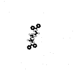 CCC(C(=O)NC1C(=O)N2CC(CCl)(C(=O)OC(c3ccccc3)c3ccccc3)CS[C@H]12)C(=O)OC(c1ccccc1)c1ccccc1